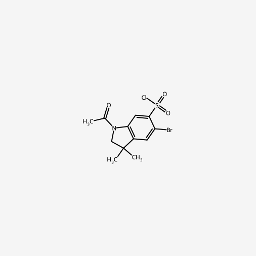 CC(=O)N1CC(C)(C)c2cc(Br)c(S(=O)(=O)Cl)cc21